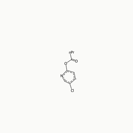 CCCC(=O)Oc1c[c]c(Cl)cn1